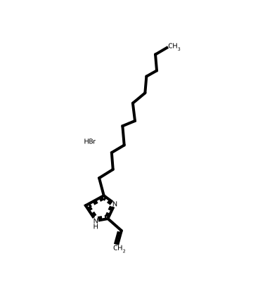 Br.C=Cc1nc(CCCCCCCCCCCC)c[nH]1